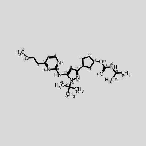 COCCc1ccnc(Nc2cc([C@H]3CC[C@@H](OC(=O)NC(C)C)C3)nn2C(C)(C)C)n1